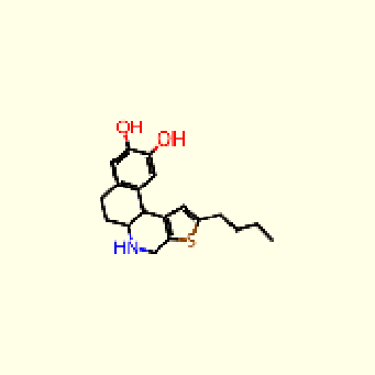 CCCCc1cc2c(s1)CNC1CCc3cc(O)c(O)cc3C21